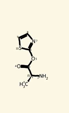 C[C@H](N)C(=O)Oc1nccs1